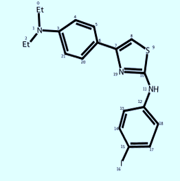 CCN(CC)c1ccc(-c2csc(Nc3ccc(I)cc3)n2)cc1